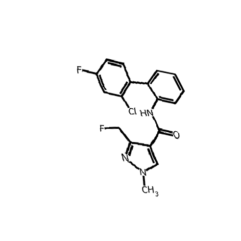 Cn1cc(C(=O)Nc2ccccc2-c2ccc(F)cc2Cl)c(CF)n1